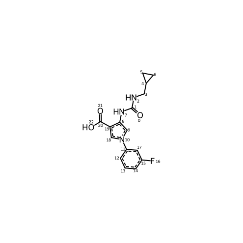 O=C(NCC1CC1)Nc1cn(-c2cccc(F)c2)cc1C(=O)O